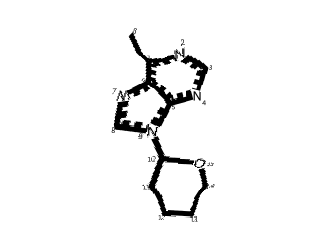 Cc1ncnc2c1ncn2C1CCCCO1